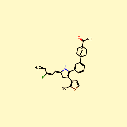 C=C/C(F)=C\C=C1/CC(c2ccsc2C#N)=C(c2cccc(C34CCC(C(=O)N=O)(CC3)CC4)c2)N1